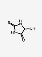 [NH]C1NC(=S)NC1=O